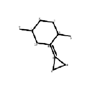 CC1CCC(C)C(=C2CC2)C1